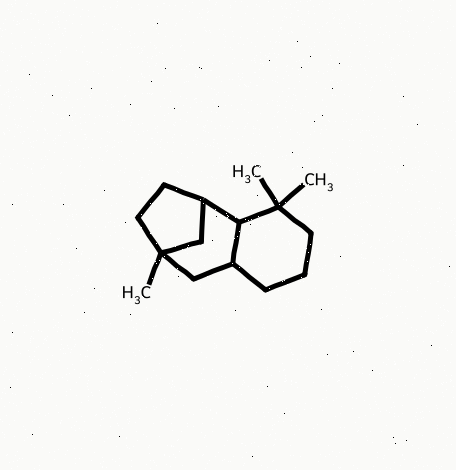 CC12CCC(C1)C1C(CCCC1(C)C)C2